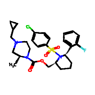 C[C@H]1CN(CC2CC2)CCN1C(=O)OC[C@H]1CCC[C@@H](c2ccccc2F)N1S(=O)(=O)c1ccc(Cl)cc1